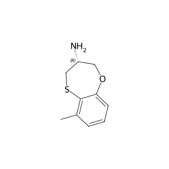 Cc1cccc2c1SC[C@H](N)CO2